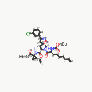 C=CCCCCC[C@H](NC(=O)OC(C)(C)C)C(=O)N1C[C@@]2(CC(c3cccc(Cl)c3)=NO2)C[C@H]1C(=O)N[C@]1(C(=O)OC)C[C@H]1C=C